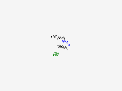 Br.N.[Fe].[NaH].[NaH]